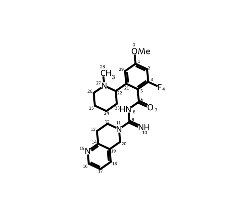 COc1cc(F)c(C(=O)NC(=N)N2CCc3ncccc3C2)c(C2CCCCN2C)c1